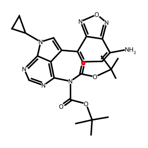 CC(C)(C)OC(=O)N(C(=O)OC(C)(C)C)c1ncnc2c1c(-c1ccc(N)c3nonc13)cn2C1CC1